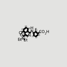 CCN(CC)C(=O)c1cnc(Nc2cccc(C(=O)O)c2F)c2cccc(Cl)c12